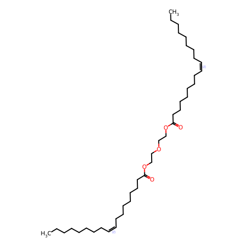 CCCCCCCC/C=C\CCCCCCCC(=O)OCCOCCOC(=O)CCCCCCC/C=C\CCCCCCCC